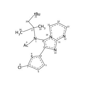 CC(=O)N(c1c(-c2ccc(Cl)s2)nc2ncccn12)C(C)(C)CC(C)(C)C